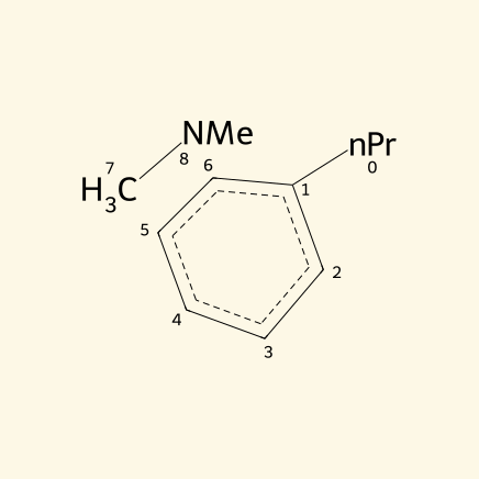 CCCc1ccccc1.CNC